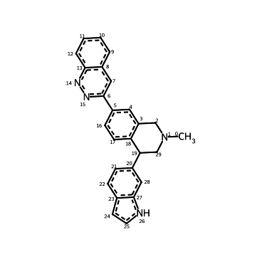 CN1Cc2cc(-c3cc4ccccc4nn3)ccc2C(c2ccc3cc[nH]c3c2)C1